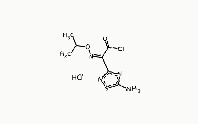 CC(C)ON=C(C(=O)Cl)c1nsc(N)n1.Cl